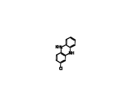 Clc1ccc2c(c1)Nc1ccccc1S2.[KH]